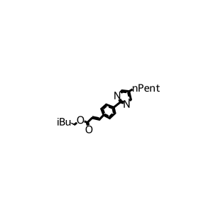 CCCCCc1cnc(-c2ccc(/C=C/C(=O)OC[C@H](C)CC)cc2)nc1